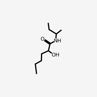 CCCCC(O)C(=O)NC(C)CC